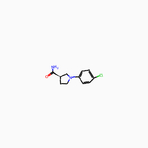 NC(=O)[C@@H]1CCN(c2ccc(Cl)cc2)C1